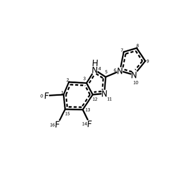 Fc1cc2[nH]c(-n3cccn3)nc2c(F)c1F